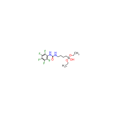 CCO[Si](O)(CCCCNC(=O)Nc1c(F)c(F)c(F)c(F)c1F)OCC